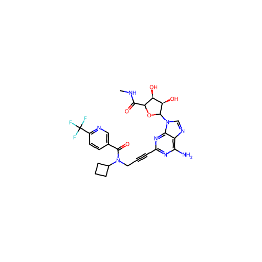 CNC(=O)C1OC(n2cnc3c(N)nc(C#CCN(C(=O)c4ccc(C(F)(F)F)nc4)C4CCC4)nc32)[C@H](O)[C@@H]1O